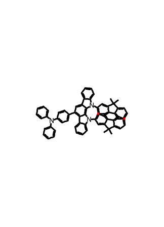 CC1(C)c2ccccc2-c2ccc(-n3c4ccccc4c4cc(-c5ccc(N(c6ccccc6)c6ccccc6)cc5)c5c6ccccc6n(-c6ccc7c(c6)C(C)(C)c6ccccc6-7)c5c43)cc21